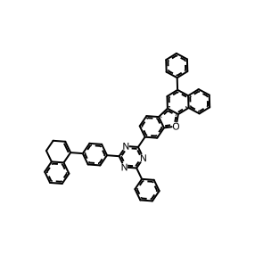 C1=C(c2ccc(-c3nc(-c4ccccc4)nc(-c4ccc5c(c4)oc4c6ccccc6c(-c6ccccc6)cc54)n3)cc2)c2ccccc2CC1